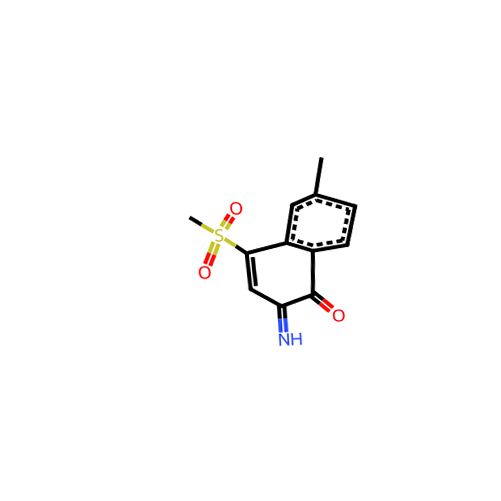 Cc1ccc2c(c1)C(S(C)(=O)=O)=CC(=N)C2=O